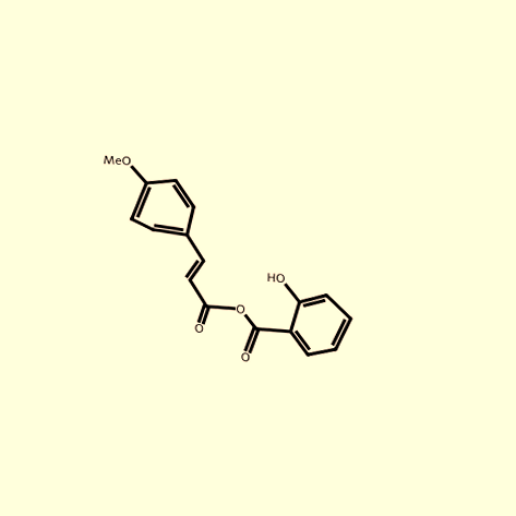 COc1ccc(/C=C/C(=O)OC(=O)c2ccccc2O)cc1